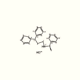 C[C@@H](NCCC(c1ccccc1)c1ccccc1)c1ccccc1.Cl